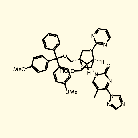 COc1ccc(C(OC[C@@]23CN(c4ncccn4)[C@@H]([C@H](n4cc(C)c(-n5cncn5)nc4=O)O2)[C@@H]3CC(=O)O)(c2ccccc2)c2ccc(OC)cc2)cc1